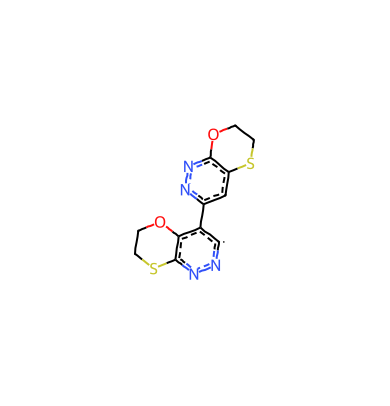 [c]1nnc2c(c1-c1cc3c(nn1)OCCS3)OCCS2